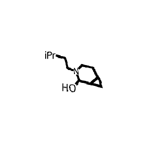 CC(C)CCN1CCC2CC2C1O